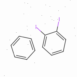 Ic1ccccc1I.c1ccccc1